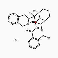 CCOc1ccccc1C(=O)NC(=O)N1C2CCC[C@]1(CC)C(O)(C1Cc3ccccc3CN1)OC2O.Cl